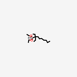 CCCCCCCC(CC)(CC)[SiH](OCC)OCC